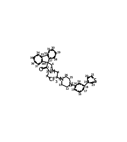 O=C(NCC(F)(F)F)C1(CCCCN2CCN(c3cccc(-c4ccsc4)c3)CC2)c2ccccc2-c2ccccc21